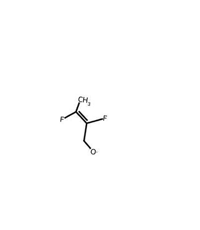 C/C(F)=C(\F)C[O]